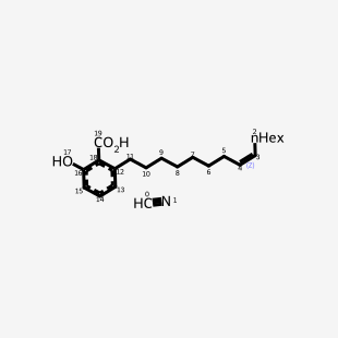 C#N.CCCCCC/C=C\CCCCCCCc1cccc(O)c1C(=O)O